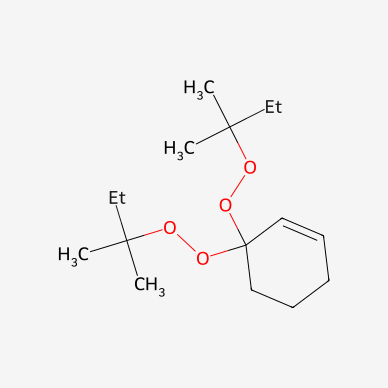 CCC(C)(C)OOC1(OOC(C)(C)CC)C=CCCC1